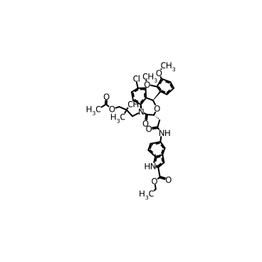 CCOC(=O)c1cc2cc(NC(=O)C[C@H]3O[C@H](c4cccc(OC)c4OC)c4cc(Cl)ccc4N(CC(C)(C)COC(C)=O)C3=O)ccc2[nH]1